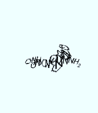 Nc1nc(N2CCC[C@H]2C(=O)N2CCC3(CC2)CN(C(=O)Nc2ccccc2)C3)nc2nc(-c3ccco3)nn12